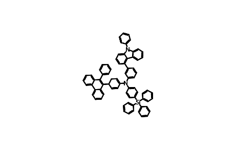 C1=CC(c2c(-c3ccccc3)c3ccccc3c3ccccc23)CC=C1N(c1ccc([Si](c2ccccc2)(c2ccccc2)c2ccccc2)cc1)c1cccc(-c2cccc3c2c2ccccc2n3-c2ccccc2)c1